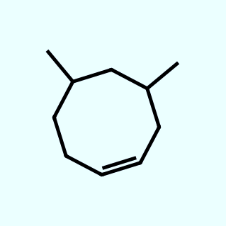 CC1CC=CCCC(C)C1